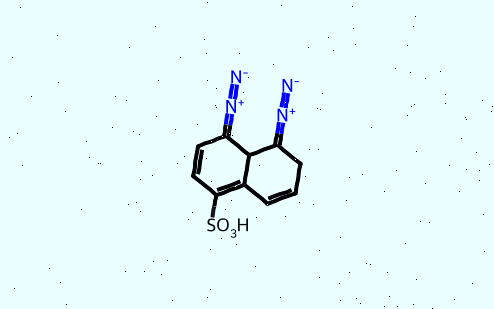 [N-]=[N+]=C1C=CC(S(=O)(=O)O)=C2C=CCC(=[N+]=[N-])C12